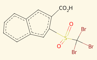 O=C(O)c1cc2ccccc2cc1S(=O)(=O)C(Br)(Br)Br